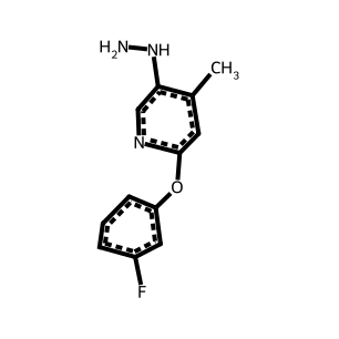 Cc1cc(Oc2cccc(F)c2)ncc1NN